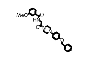 COc1cccc(C(=O)NCC(=O)N2CCN(c3ccc(OCc4ccccc4)cc3)CC2)c1